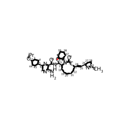 CC(C)Oc1ccc(-c2cnc(N)c(C(=O)NC(C)c3cccccc(C#Cc4ccn(C)n4)cc(=O)n3-c3ccccc3)n2)cc1